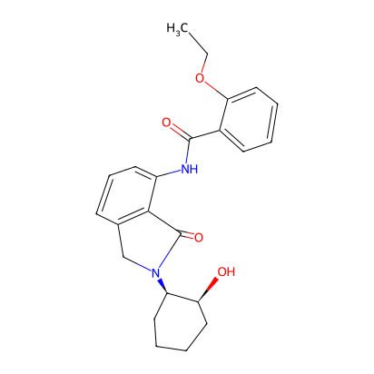 CCOc1ccccc1C(=O)Nc1cccc2c1C(=O)N([C@@H]1CCCC[C@@H]1O)C2